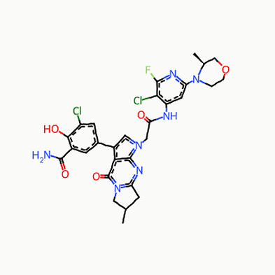 CC1Cc2nc3c(c(-c4cc(Cl)c(O)c(C(N)=O)c4)cn3CC(=O)Nc3cc(N4CCOC[C@@H]4C)nc(F)c3Cl)c(=O)n2C1